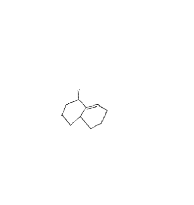 [CH2]C1CCCC2CCCC=C12